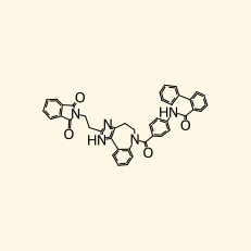 O=C(Nc1ccc(C(=O)N2CCc3nc(CCN4C(=O)c5ccccc5C4=O)[nH]c3-c3ccccc32)cc1)c1ccccc1-c1ccccc1